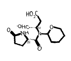 O=[C][C@H](CC(=O)O)N(C(=O)[C@@H]1CCC(=O)N1)C1CCCCO1